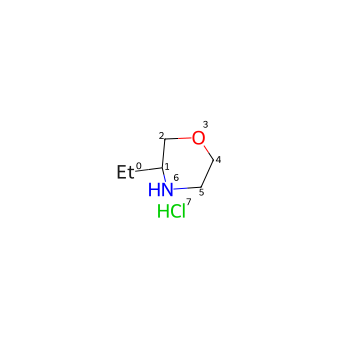 CCC1COCCN1.Cl